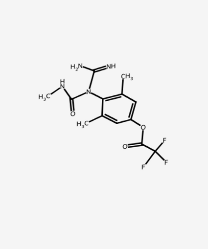 CNC(=O)N(C(=N)N)c1c(C)cc(OC(=O)C(F)(F)F)cc1C